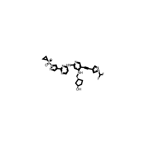 O=S(=O)(C1CC1)n1cc(-c2nccc(Nc3cc(NC[C@H]4CC[C@@H](O)C4)c(C#Cc4cnn(C(F)F)c4)cn3)n2)cn1